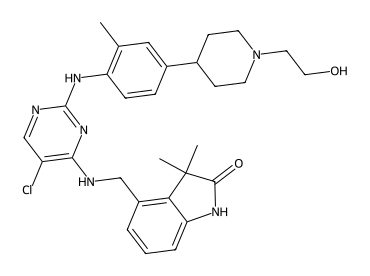 Cc1cc(C2CCN(CCO)CC2)ccc1Nc1ncc(Cl)c(NCc2cccc3c2C(C)(C)C(=O)N3)n1